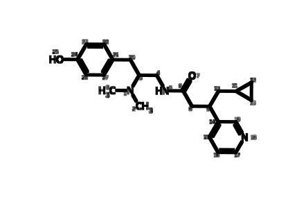 CN(C)C(CNC(=O)CC(CC1CC1)c1cccnc1)Cc1ccc(O)cc1